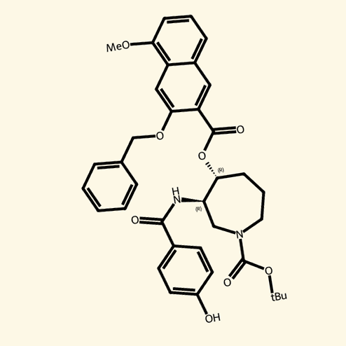 COc1cccc2cc(C(=O)O[C@@H]3CCCN(C(=O)OC(C)(C)C)C[C@H]3NC(=O)c3ccc(O)cc3)c(OCc3ccccc3)cc12